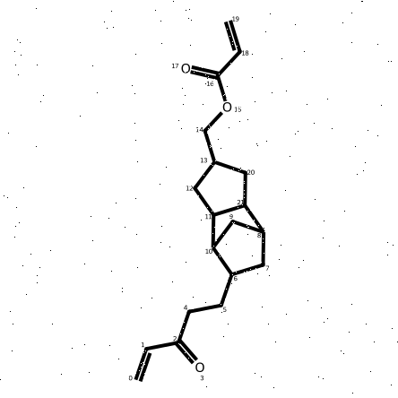 C=CC(=O)CCC1CC2CC1C1CC(COC(=O)C=C)CC21